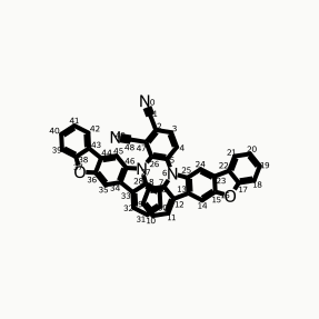 N#Cc1ccc(-n2c3ccccc3c3cc4oc5ccccc5c4cc32)c(-n2c3ccccc3c3cc4oc5ccccc5c4cc32)c1C#N